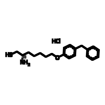 Cl.N[C@H](CS)CCCCCOc1ccc(Cc2ccccc2)cc1